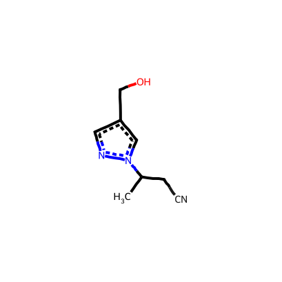 CC(CC#N)n1cc(CO)cn1